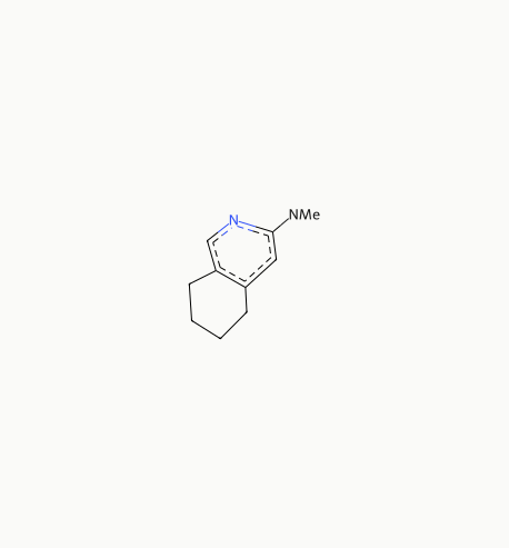 CNc1cc2c(cn1)CCCC2